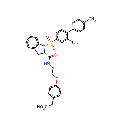 Cc1ccc(-c2ccc(S(=O)(=O)N3c4ccccc4C[C@H]3C(=O)NCCOc3ccc(CC(=O)O)cc3)cc2C(F)(F)F)cc1